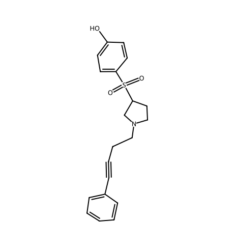 O=S(=O)(c1ccc(O)cc1)C1CCN(CCC#Cc2ccccc2)C1